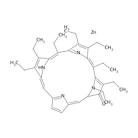 CCC1=C(CC)C2=C(CC)C3=C(CC)C(=O)C(C=C4C=CC(=N4)C=c4[nH]c(c(CC)c4CC)=C(CC)C1=N2)N3CC.[Zn]